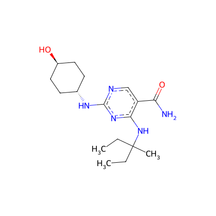 CCC(C)(CC)Nc1nc(N[C@H]2CC[C@H](O)CC2)ncc1C(N)=O